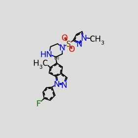 Cc1cc2c(cnn2-c2ccc(F)cc2)cc1[C@@H]1CN(S(=O)(=O)c2ccn(C)n2)CCN1